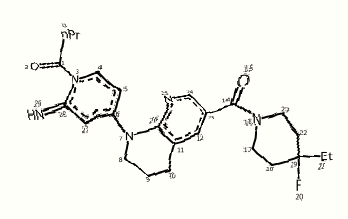 CCCC(=O)n1ccc(N2CCCc3cc(C(=O)N4CCC(F)(CC)CC4)cnc32)cc1=N